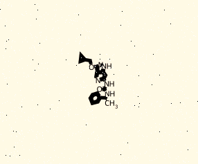 C[C@@H](NC(=O)Nc1cc2[nH]nc(OCC3CC3)c2cn1)c1ccccc1